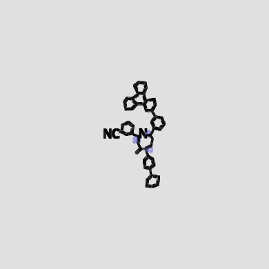 C=C1/C=C(c2cccc(C#N)c2)\N=C(\c2cccc(-c3ccc4c5ccccc5c5ccccc5c4c3)c2)C/C=C\1c1ccc(-c2ccccc2)cc1